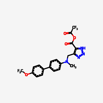 CN(Cc1nn[nH]c1C(=O)OC(=O)C(F)(F)F)c1ccc(-c2ccc(OC(F)(F)F)cc2)cc1